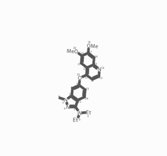 CCN(CC)c1nn(C)c2cc(Oc3ccnc4cc(OC)c(OC)cc34)ccc12